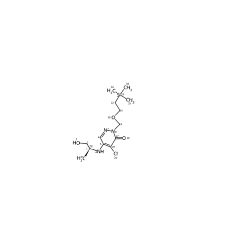 C[C@@H](CO)Nc1cnn(COCC[Si](C)(C)C)c(=O)c1Cl